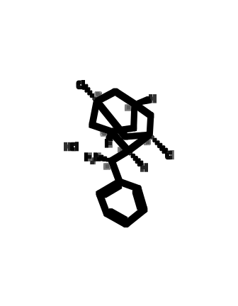 Cl.N[C@@H](c1ccccc1)[C@H]1[C@H]2C[C@@H]3C[C@](Cl)(C2)C[C@@]1(Cl)C3